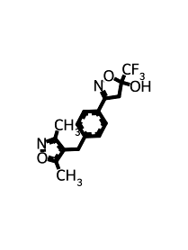 Cc1noc(C)c1Cc1ccc(C2=NOC(O)(C(F)(F)F)C2)cc1